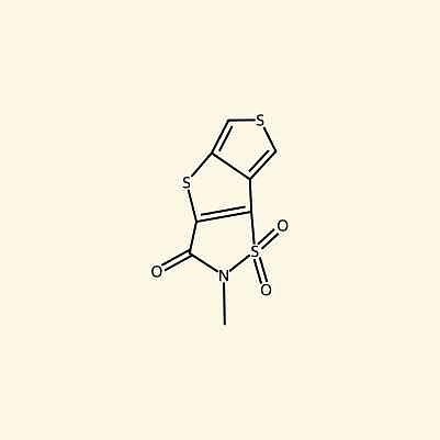 CN1C(=O)c2sc3cscc3c2S1(=O)=O